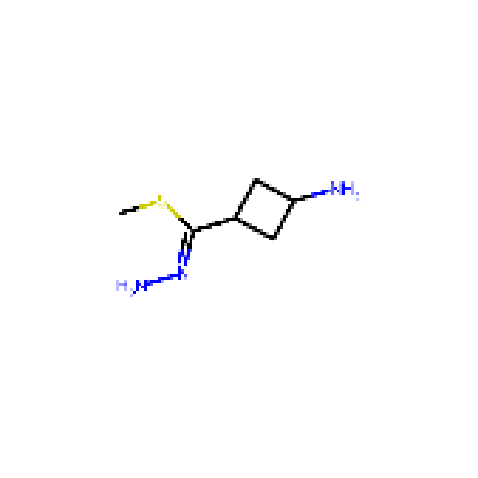 CS/C(=N\N)C1CC(N)C1